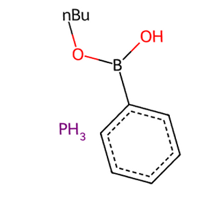 CCCCOB(O)c1ccccc1.P